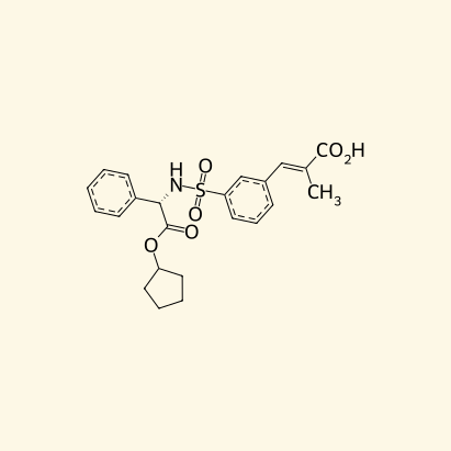 C/C(=C\c1cccc(S(=O)(=O)N[C@H](C(=O)OC2CCCC2)c2ccccc2)c1)C(=O)O